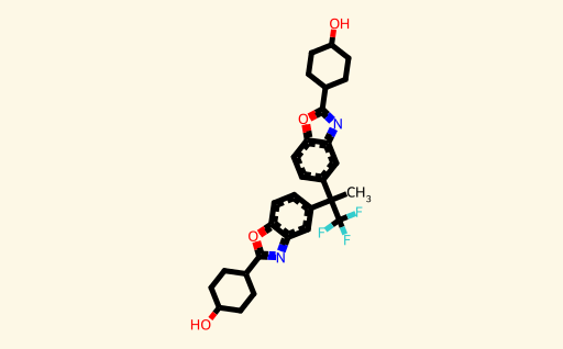 CC(c1ccc2oc(C3CCC(O)CC3)nc2c1)(c1ccc2oc(C3CCC(O)CC3)nc2c1)C(F)(F)F